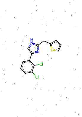 Clc1cccc(-c2c[nH]c(Cc3cccs3)n2)c1Cl